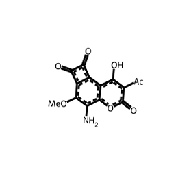 COc1c(N)c2oc(=O)c(C(C)=O)c(O)c2c2c(=O)c(=O)c12